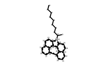 CCCCCCCCC(C)n1c2ccc3cccc4c5cccc6ccc1c(c65)c2c34